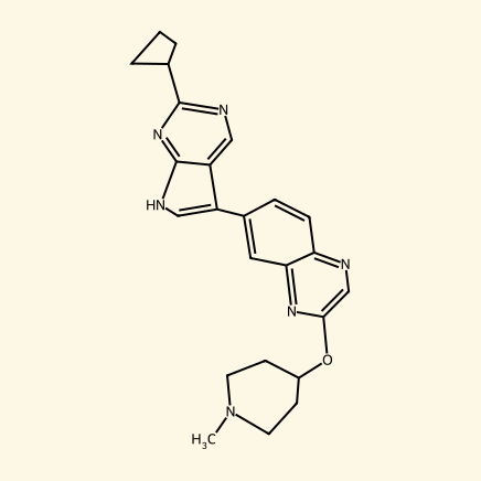 CN1CCC(Oc2cnc3ccc(-c4c[nH]c5nc(C6CCC6)ncc45)cc3n2)CC1